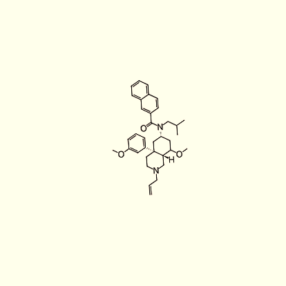 C=CCN1CC[C@@]2(c3cccc(OC)c3)C[C@H](N(CC(C)C)C(=O)c3ccc4ccccc4c3)CC(OC)[C@@H]2C1